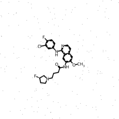 COc1cc2ccnc(Nc3ccc(F)c(Cl)c3)c2cc1NC(=O)CCCN1CC[C@@H](F)C1